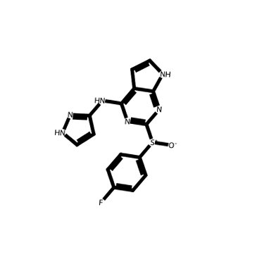 [O-][S+](c1ccc(F)cc1)c1nc(Nc2cc[nH]n2)c2cc[nH]c2n1